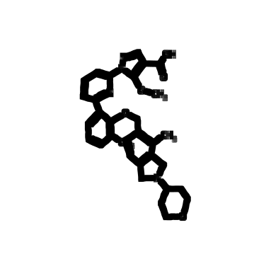 COc1c(C(=O)O)cnn1-c1cccc(-c2cccc(C)c2OCc2ccc3c(c2C)CN(C2CCOCC2)C3)n1